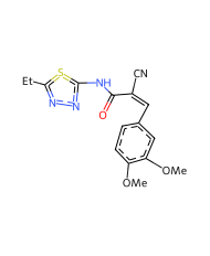 CCc1nnc(NC(=O)/C(C#N)=C\c2ccc(OC)c(OC)c2)s1